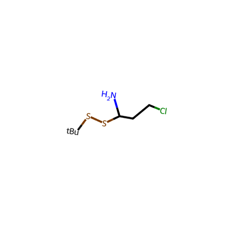 CC(C)(C)SSC(N)CCCl